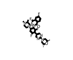 CC1CN(c2cc(F)c(-c3cnc(N4C[C@@H](C)O[C@H](C)C4)nc3)c(F)c2NC(=O)c2ccc(F)cc2C(F)F)CCN1C